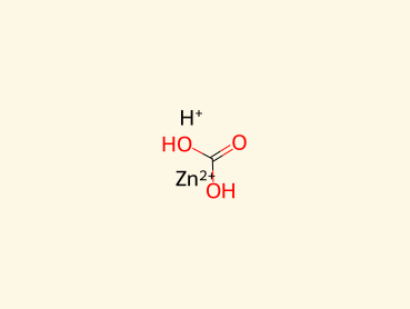 O=C(O)O.[H+].[Zn+2]